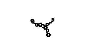 N#CCCCOc1cc(OCc2ccccc2)c[c]c1Cc1ccc(OCCN2CCCC2)cc1